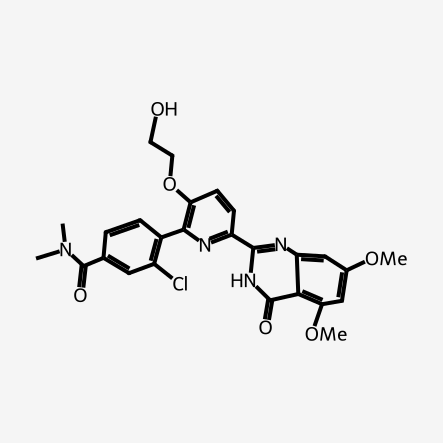 COc1cc(OC)c2c(=O)[nH]c(-c3ccc(OCCO)c(-c4ccc(C(=O)N(C)C)cc4Cl)n3)nc2c1